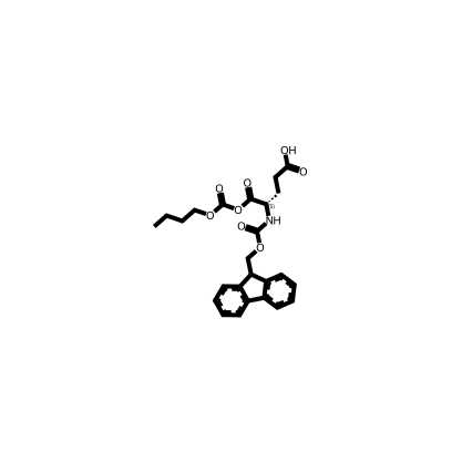 CCCCOC(=O)OC(=O)[C@H](CCC(=O)O)NC(=O)OCC1c2ccccc2-c2ccccc21